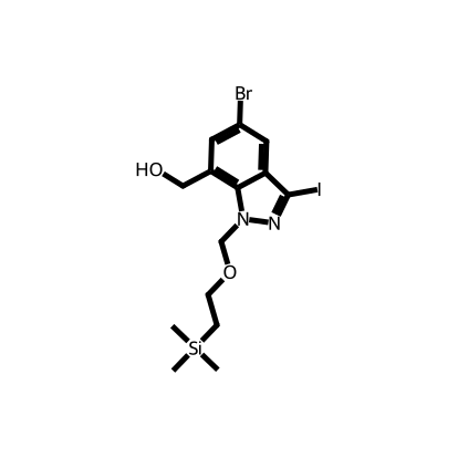 C[Si](C)(C)CCOCn1nc(I)c2cc(Br)cc(CO)c21